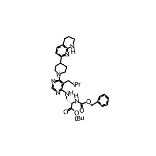 CC(C)Cc1c(NC[C@H](NC(=O)OCc2ccccc2)C(=O)OC(C)(C)C)ncnc1N1CCC(c2ccc3c(n2)NCCC3)CC1